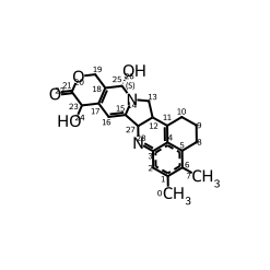 Cc1cc2c3c(c1C)CCCC=3C1CN3C(=CC4=C(COC(=O)C4O)[C@@H]3O)C1N=2